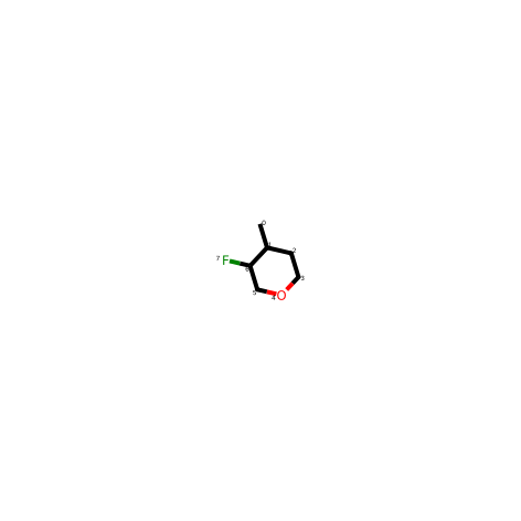 CC1CCOCC1F